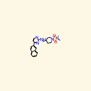 CN(C)S(=O)(=O)N1CCC(CNc2nccc(-c3ccc4ccccc4c3)n2)CC1